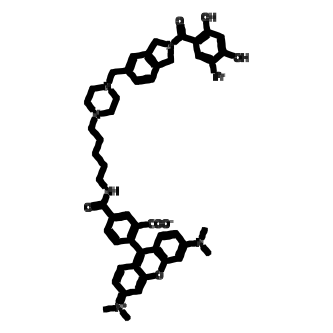 CC(C)c1cc(C(=O)N2Cc3ccc(CN4CCN(CCCCCNC(=O)c5ccc(-c6c7ccc(=[N+](C)C)cc-7oc7cc(N(C)C)ccc67)c(C(=O)[O-])c5)CC4)cc3C2)c(O)cc1O